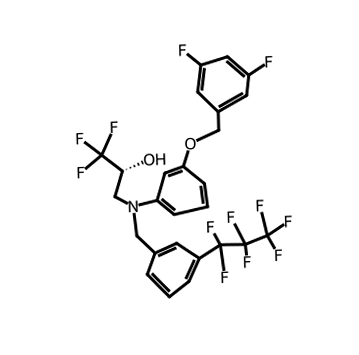 O[C@H](CN(Cc1cccc(C(F)(F)C(F)(F)C(F)(F)F)c1)c1cccc(OCc2cc(F)cc(F)c2)c1)C(F)(F)F